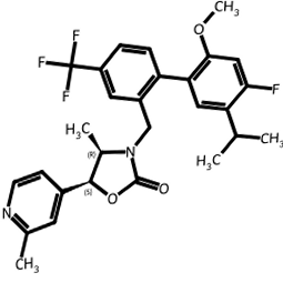 COc1cc(F)c(C(C)C)cc1-c1ccc(C(F)(F)F)cc1CN1C(=O)O[C@@H](c2ccnc(C)c2)[C@H]1C